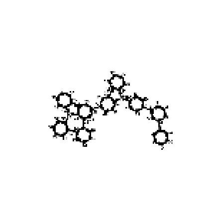 c1ccc(-c2cccc(-c3ccc(-n4c5ccccc5c5cc(-c6cc7c8c(c6)c6ccccc6n8-c6ccccc6-c6ccccc6-7)ccc54)cc3)c2)cc1